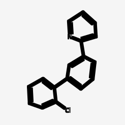 Clc1ccccc1-c1cccc(-c2ccccn2)c1